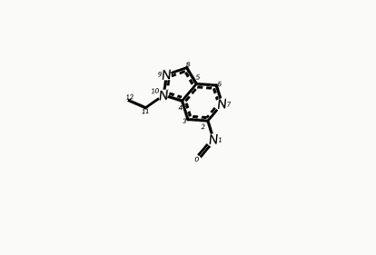 C=Nc1cc2c(cn1)cnn2CC